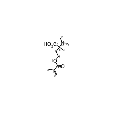 C=C(C)C(=O)OCCC(C)(C(=O)O)N(C)C